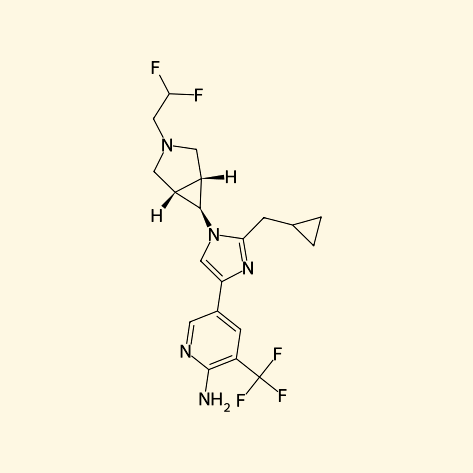 Nc1ncc(-c2cn([C@H]3[C@@H]4CN(CC(F)F)C[C@@H]43)c(CC3CC3)n2)cc1C(F)(F)F